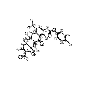 CC(=O)C1=C(C)CC2(C)CC3(C)Cc4c(C(C)C)cc(CC(=O)Oc5ccc(C)cc5)c(C)c4C(=O)C3=C(C)C2(C)C1=O